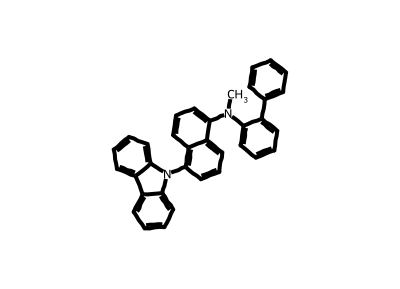 CN(c1ccccc1-c1ccccc1)c1cccc2c(-n3c4ccccc4c4ccccc43)cccc12